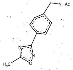 CC(=O)NCc1ccc(-c2noc(C)n2)cc1